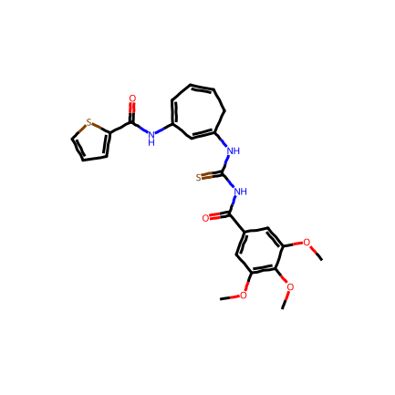 COc1cc(C(=O)NC(=S)NC2=CC(NC(=O)c3cccs3)=CC=CC2)cc(OC)c1OC